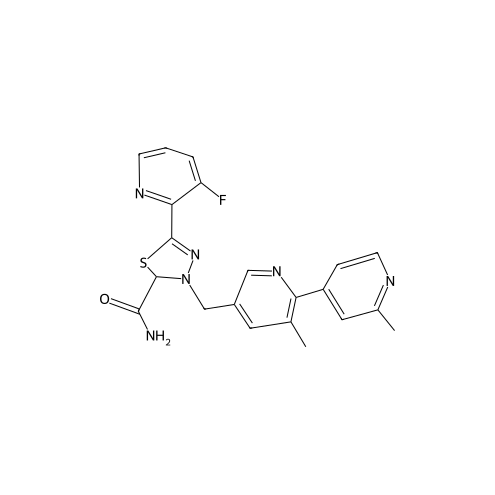 Cc1cc(-c2ncc(CN3N=C(c4ncccc4F)SC3C(N)=O)cc2C)ccn1